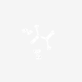 O.O=C([O-])C(=O)[O-].[KH].[O-2].[Ti+4]